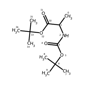 CC(NC(=O)OC(C)(C)C)C(=O)OC(C)(C)C